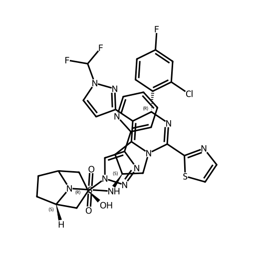 O=S(=O)(N[C@H]1CC2=C(c3ccn(C(F)F)n3)[C@H](c3ccc(F)cc3Cl)N=C(c3nccs3)N2C1)N1C2CC[C@H]1C[C@@](O)(n1cc(-c3ccccn3)nn1)C2